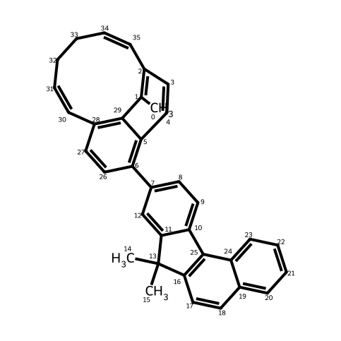 Cc1c2ccc3c(-c4ccc5c(c4)C(C)(C)c4ccc6ccccc6c4-5)ccc(c13)/C=C\CC/C=C\2